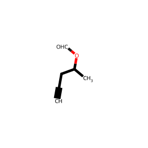 C#CCC(C)OC=O